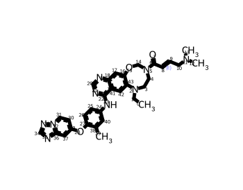 CCN1CCN(C(=O)/C=C/CN(C)C)COc2cc3ncnc(Nc4ccc(Oc5ccn6ncnc6c5)c(C)c4)c3cc21